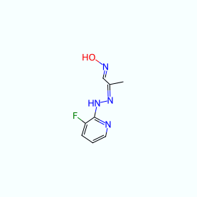 C/C(C=NO)=N/Nc1ncccc1F